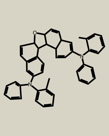 Cc1ccccc1N(C1=CC2C=CC3OC4C=Cc5cc(N(c6ccccc6)c6ccccc6C)ccc5C4C3C2C=C1)c1ccccc1